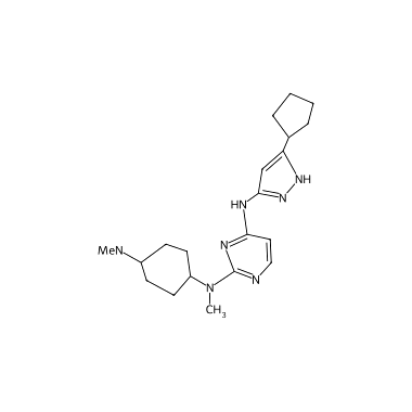 CNC1CCC(N(C)c2nccc(Nc3cc(C4CCCC4)[nH]n3)n2)CC1